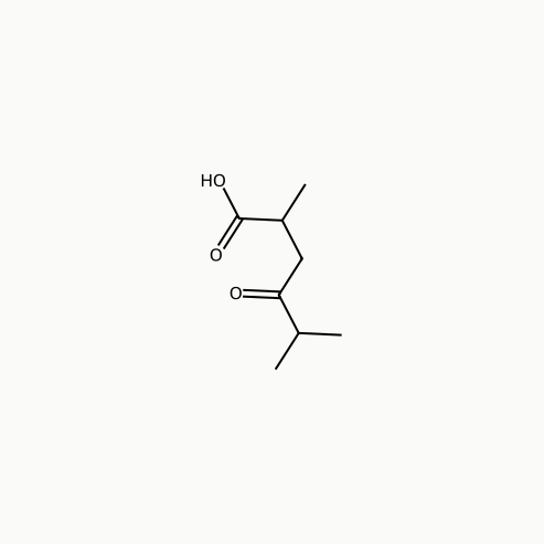 CC(C)C(=O)CC(C)C(=O)O